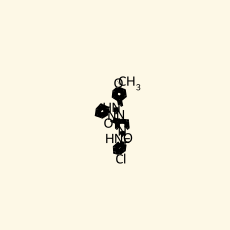 COc1ccc(CNc2nc3c(c(=O)n2-c2ccccc2)CN(C(=O)Nc2ccc(Cl)cc2F)CC3)cc1